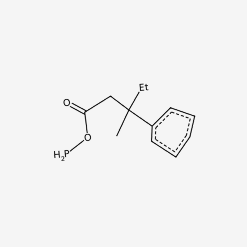 CCC(C)(CC(=O)OP)c1ccccc1